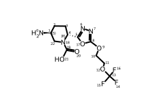 N[C@H]1CC[C@H](c2nnc(OCCOC(F)(F)F)o2)N(C(=O)O)C1